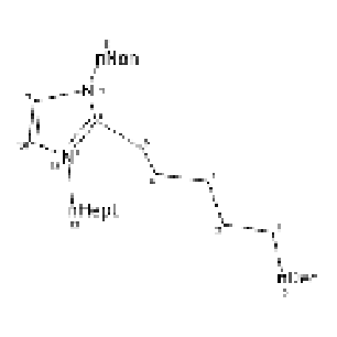 CCCCCCCCCCCCCCCc1n(CCCCCCCCC)cc[n+]1CCCCCCC